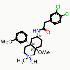 COc1cccc([C@@]23CC[N+](C)(C)C[C@@]2(OC)CC[C@@H](NC(=O)Cc2ccc(Cl)c(Cl)c2)C3)c1